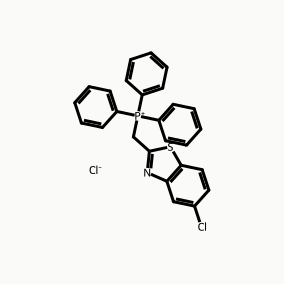 Clc1ccc2sc(C[P+](c3ccccc3)(c3ccccc3)c3ccccc3)nc2c1.[Cl-]